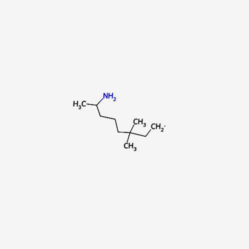 [CH2]CC(C)(C)CCCC(C)N